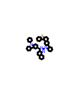 c1ccc(-n2c3ccccc3c3cc(-c4nc(-n5c6ccccc6c6cc7ccc8sc9ccccc9c8c7cc65)nc5c4ccc4ccccc45)ccc32)cc1